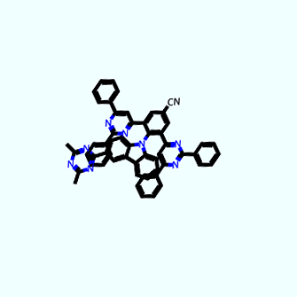 Cc1nc(C)nc(-c2ccc3c(c2)c2ccccc2n3-c2c(-c3cc(-c4ccccc4)nc(-c4ccccc4)n3)cc(C#N)cc2-c2cc(-c3ccccc3)nc(-c3ccccc3)n2)n1